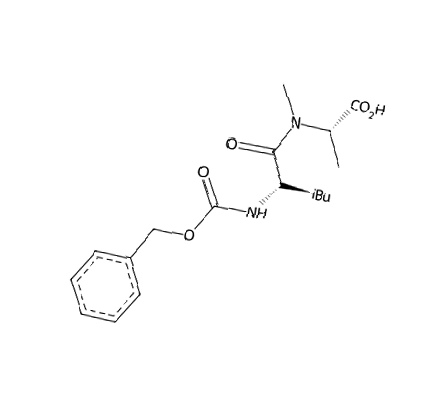 CC[C@H](C)[C@H](NC(=O)OCc1ccccc1)C(=O)N(C)[C@@H](C)C(=O)O